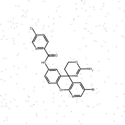 NC1=NC2(CCO1)c1cc(NC(=O)c3ccc(Cl)cn3)ccc1Oc1ncc(Br)cc12